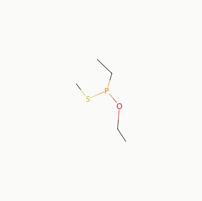 CCOP(CC)SC